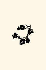 CC(C)(C)c1ccc(O)cc1.CC1CN(CCCc2ccccc2Oc2ccccc2CCCN2CC(C)OC(C)C2)CC(C)O1